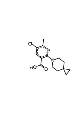 Cc1nc(N2CCC3(CC2)CC3)c(C(=O)O)cc1Cl